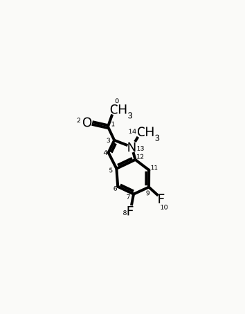 CC(=O)c1cc2cc(F)c(F)cc2n1C